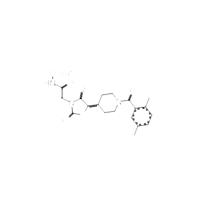 CCCCCNC(=O)CN1C(=O)SC(=C2CCN(C(=O)c3cc(C)ccc3C)CC2)C1=O